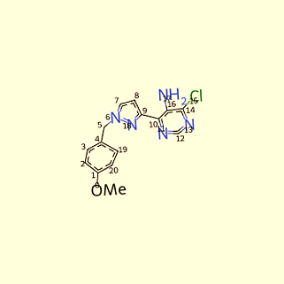 COc1ccc(Cn2ccc(-c3ncnc(Cl)c3N)n2)cc1